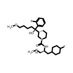 CNC[C@H](CC1CCC(F)CC1)NC(=O)N1CCC[C@@H]([C@](O)(CCCCOC)c2ccccc2F)C1